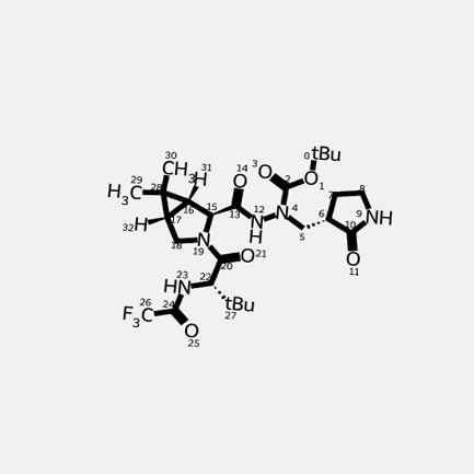 CC(C)(C)OC(=O)N(C[C@@H]1CCNC1=O)NC(=O)[C@@H]1[C@@H]2[C@H](CN1C(=O)[C@@H](NC(=O)C(F)(F)F)C(C)(C)C)C2(C)C